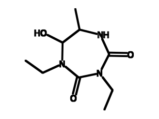 CCN1C(=O)NC(C)C(O)N(CC)C1=O